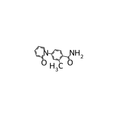 Cc1cc(-n2ccccc2=O)ccc1C(N)=O